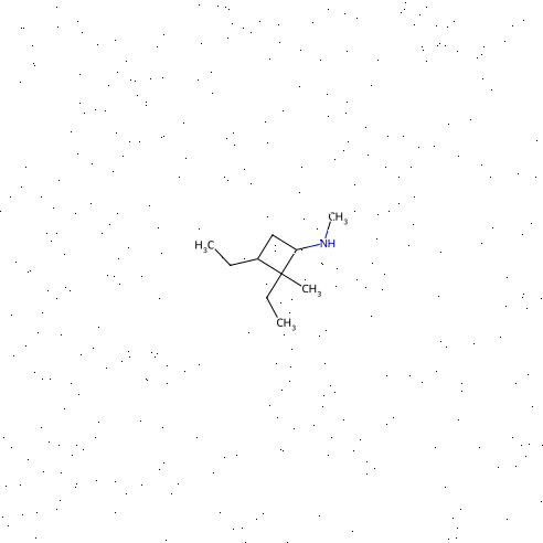 CCC1CC(NC)C1(C)CC